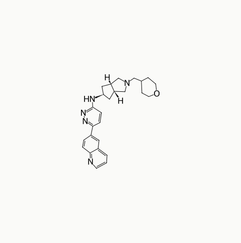 c1cnc2ccc(-c3ccc(N[C@H]4C[C@@H]5CN(CC6CCOCC6)C[C@@H]5C4)nn3)cc2c1